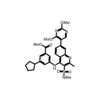 CNS(=O)(=O)c1c(C)nc2cc(-c3cnc(OC)nc3OC)ccc2c1Nc1cc(C(=O)OC)cc(C2CCCC2)c1